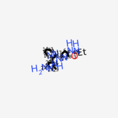 CCNC(=O)Nc1ccc(Nc2nc3ccccn3c2-c2cc(N)nc(C)n2)nc1